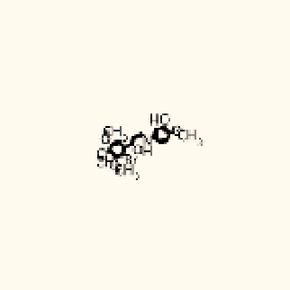 COc1ccc(N/C=C\C(=O)c2cc(OC)c(OC)c(OC)c2Br)cc1O